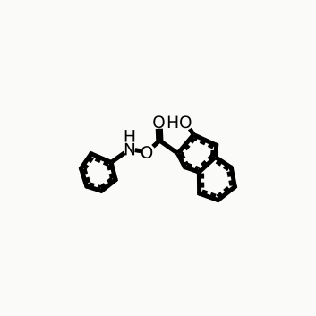 O=C(ONc1ccccc1)c1cc2ccccc2cc1O